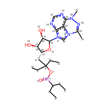 CCC(CC)[PH](=O)OC(CC)(CC)C[C@H]1OC(n2c[n+]3c4c(ncnc42)N(C)N=C3C)[C@H](O)[C@@H]1O